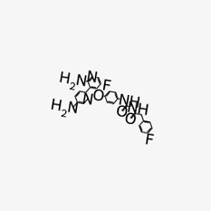 Nc1ccc(-c2c(Oc3ccc(NC(=O)NC(=O)Cc4ccc(F)cc4)cc3F)ccnc2N)nc1